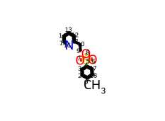 Cc1ccc(S(=O)(=O)OCCc2ccccn2)cc1